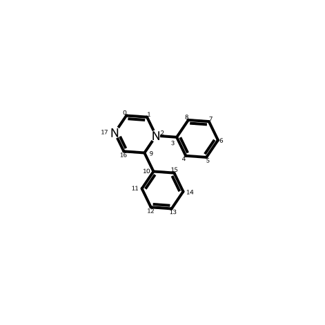 C1=CN(c2ccccc2)C(c2ccccc2)C=N1